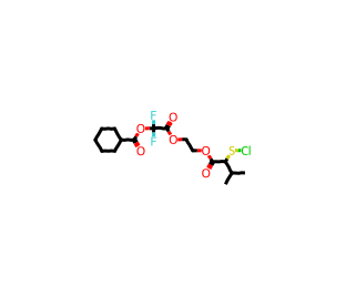 CC(C)C(SCl)C(=O)OCCOC(=O)C(F)(F)OC(=O)C1CCCCC1